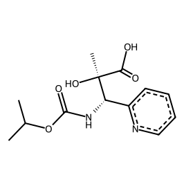 CC(C)OC(=O)N[C@@H](c1ccccn1)[C@@](C)(O)C(=O)O